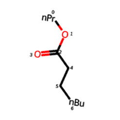 [CH2]CCOC(=O)CCCCCC